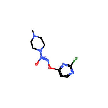 CN1CCN(/[N+]([O-])=N/Oc2ccnc(Cl)n2)CC1